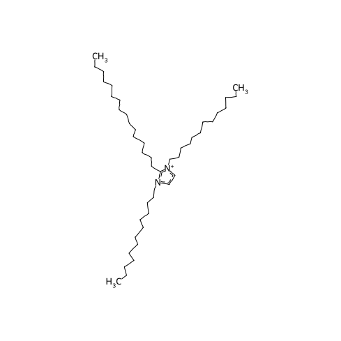 CCCCCCCCCCCCCCCCc1n(CCCCCCCCCCCCC)cc[n+]1CCCCCCCCCCCCC